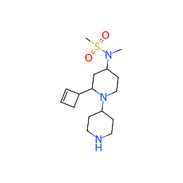 CN(C1CCN(C2CCNCC2)C(C2C=CC2)C1)S(C)(=O)=O